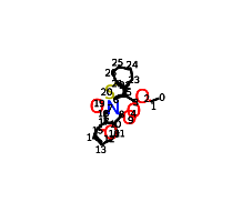 CCOC(=O)c1c(N2C(=O)C3CC4C=CC(O4)C3C2=O)sc2c1CCCC2